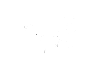 CCc1nc2c(F)cc(N3CCOCC3)cc2n1Cc1cccc2ccccc12